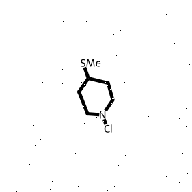 CSC1CCN(Cl)CC1